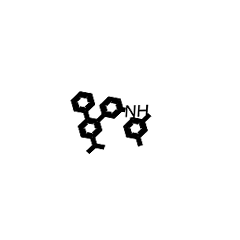 Cc1ccc(Nc2cccc(-c3cc(C(C)C)ccc3-c3ccccc3)c2)c(C)c1